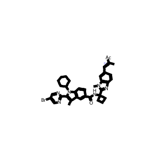 CC(=O)/C(C)=C/c1ccc2nc(C3(NC(=O)c4ccc5c(c4)c(C)c(-c4ncc(Br)cn4)n5C4CCCCC4)CCC3)n(C)c2c1